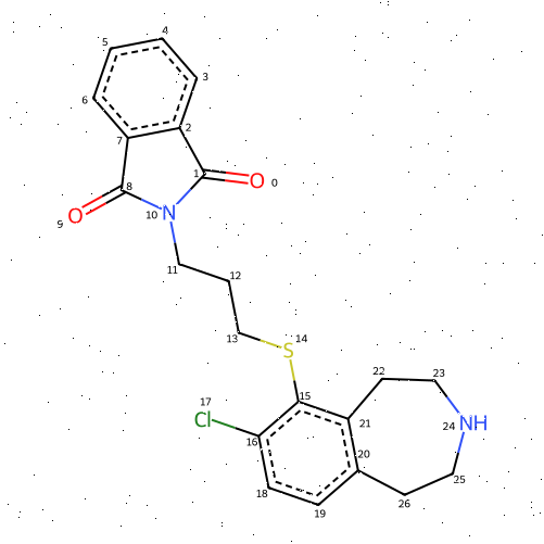 O=C1c2ccccc2C(=O)N1CCCSc1c(Cl)ccc2c1CCNCC2